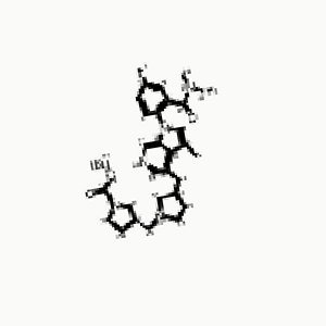 Cc1cn(-c2ccc(F)cc2C(=O)N(C)C(C)C)c2cncc(CC3CCN(C[C@H]4CCN(C(=O)OC(C)(C)C)C4)C3)c12